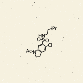 CC(=O)N1CCc2cc(Cl)c(S(=O)(=O)NCCC(C)C)cc21